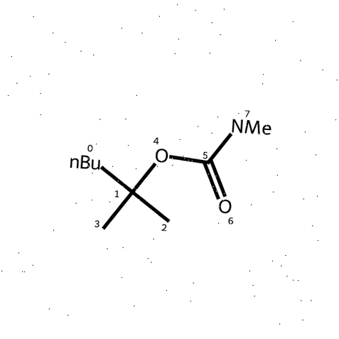 CCCCC(C)(C)OC(=O)NC